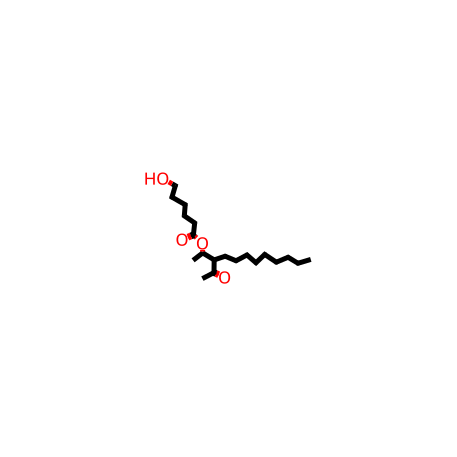 CCCCCCCCCC(C(C)=O)C(C)OC(=O)CCCCCO